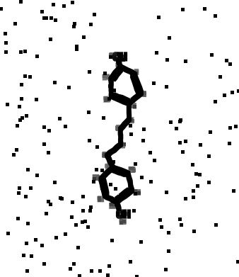 Oc1ccc(CCCCc2ccc(O)cc2)cc1